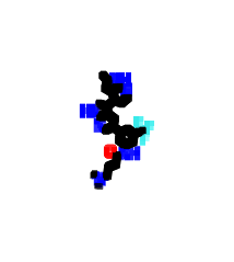 Cc1cc2c(-c3c[nH]c4ncc(-c5cc(NC(=O)/C=C/CN(C)C)cc(C(F)(F)F)c5)cc34)ccnc2[nH]1